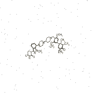 COc1cc(-c2cn(C)c(=O)c(C)c2C)cc(OC)c1CN1CCC(N2CCN(c3cccc4c(C5CCC(=O)NC5=O)nn(C)c34)CC2)CC1